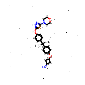 CC(C)(c1ccc(Oc2nnc(N3CCOCC3)s2)cc1)c1ccc(OC2CC(N)C2)cc1